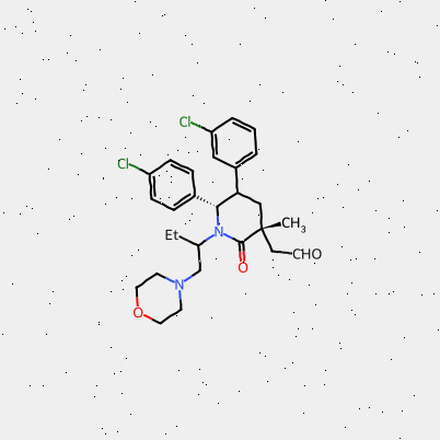 CCC(CN1CCOCC1)N1C(=O)[C@@](C)(CC=O)CC(c2cccc(Cl)c2)[C@H]1c1ccc(Cl)cc1